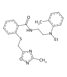 CCN(CCNC(=O)c1ccccc1SCc1nc(C)no1)c1ccccc1C